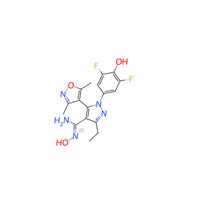 CCc1nn(-c2cc(F)c(O)c(F)c2)c(-c2c(C)noc2C)c1/C(N)=N/O